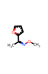 CO/N=C(/C)c1ccco1